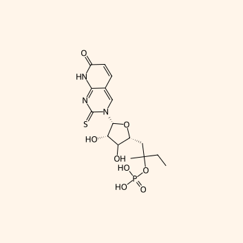 CCC(C)(C[C@H]1O[C@@H](n2cc3ccc(=O)[nH]c3nc2=S)[C@@H](O)C1O)OP(=O)(O)O